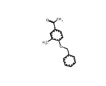 CC(=O)c1ccc(OCc2ccccc2)c(C)c1